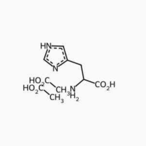 CC(=O)O.CC(=O)O.NC(Cc1c[nH]cn1)C(=O)O